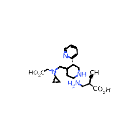 C#CC(CN)C(=O)O.O=C(O)CN(CC1CCNC[C@H]1c1ccccn1)C1CC1